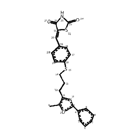 Cc1oc(-c2ccccc2)nc1CCCSc1ccc(/C=C2\SC(=O)NC2=O)cc1